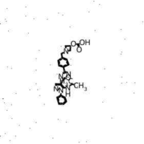 CC(C)Nc1c(-c2nc(-c3ccc(CN4CC(OC(=O)O)C4)cc3)no2)cnn1-c1ccccc1